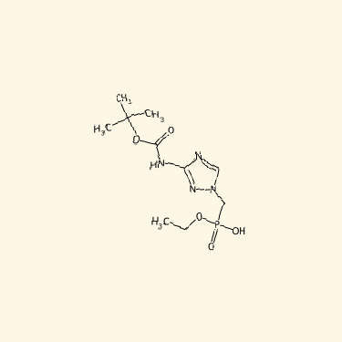 CCOP(=O)(O)Cn1cnc(NC(=O)OC(C)(C)C)n1